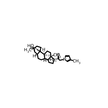 CC[C@]12CC[C@@](C)(O)C[C@@H]1CC[C@H]1[C@@H]3CC[C@H](C(=O)Cn4ccc(C)c4)[C@@]3(C)CC[C@@H]12